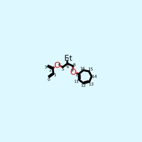 C=CC(=C)OCC(CC)COC1=CC=CCCC1